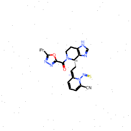 CC(C)c1nnc(C(=O)N2CCc3[nH]cnc3[C@@H]2C/C=C2/C=CC=C(C#N)N2N=S)o1